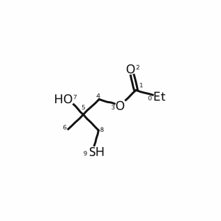 CCC(=O)OCC(C)(O)CS